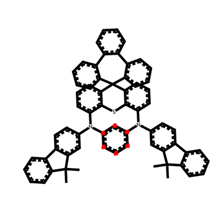 CC1(C)c2ccccc2-c2ccc(N(c3ccccc3)c3cccc4c3Sc3c(N(c5ccccc5)c5ccc6c(c5)C(C)(C)c5ccccc5-6)cccc3C43c4ccccc4-c4ccccc4-c4ccccc43)cc21